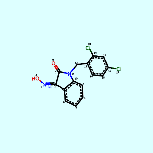 O=C1/C(=N\O)c2ccccc2N1Cc1ccc(Cl)cc1Cl